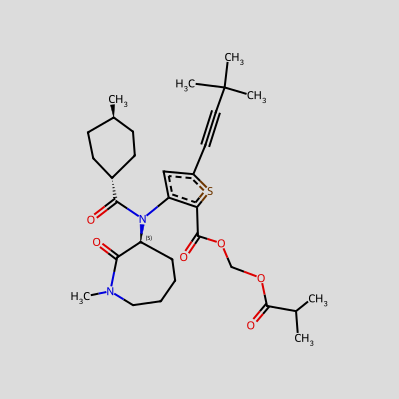 CC(C)C(=O)OCOC(=O)c1sc(C#CC(C)(C)C)cc1N(C(=O)[C@H]1CC[C@H](C)CC1)[C@H]1CCCCN(C)C1=O